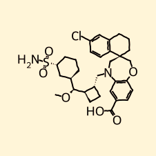 CO[C@@H]([C@@H]1CCC[C@@H](S(N)(=O)=O)C1)[C@@H]1CC[C@H]1CN1C[C@@]2(CCCc3cc(Cl)ccc32)COc2ccc(C(=O)O)cc21